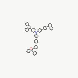 c1ccc(-c2c(-c3cccc(-c4ccc(-c5ccc(N(c6ccc(-c7ccc(-c8cccc9ccccc89)cc7)cc6)c6ccc(-c7cc8ccccc8c8ccccc78)cc6)cc5)cc4)c3)oc3ccccc23)cc1